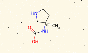 C[C@@]1(NC(=O)O)CCNC1